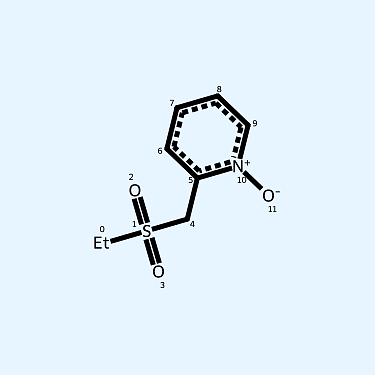 CCS(=O)(=O)Cc1cccc[n+]1[O-]